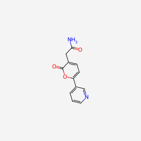 NC(=O)Cc1ccc(-c2cccnc2)oc1=O